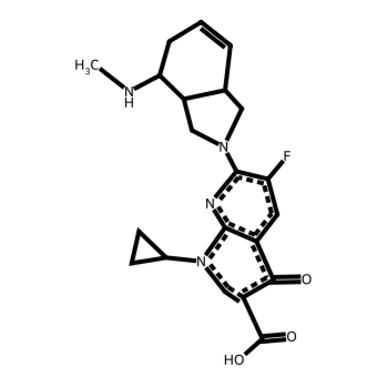 CNC1CC=CC2CN(c3nc4c(cc3F)c(=O)c(C(=O)O)cn4C3CC3)CC21